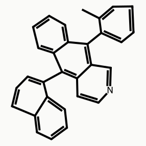 Cc1ccccc1-c1c2ccccc2c(-c2cccc3ccccc23)c2ccncc12